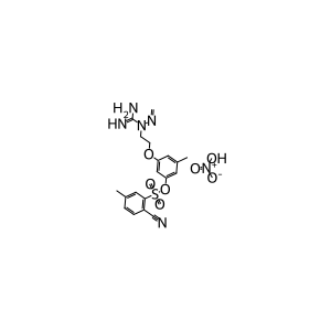 C=NN(CCOc1cc(C)cc(OS(=O)(=O)c2cc(C)ccc2C#N)c1)C(=N)N.O=[N+]([O-])O